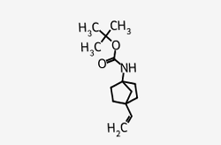 C=CC12CCC(NC(=O)OC(C)(C)C)(CC1)C2